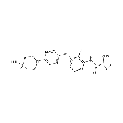 CC1(N)CCN(c2cnc(Sc3cccc(NC(=O)C4(C=O)CC4)c3Cl)cn2)CC1